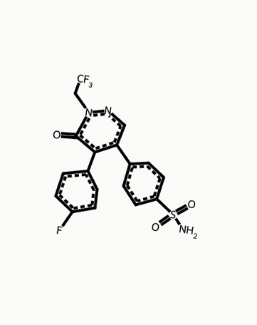 NS(=O)(=O)c1ccc(-c2cnn(CC(F)(F)F)c(=O)c2-c2ccc(F)cc2)cc1